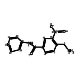 NCc1ccc(C(=O)Nc2ccncc2)cc1[N+](=O)[O-]